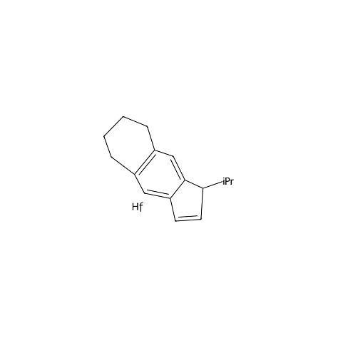 CC(C)C1C=Cc2cc3c(cc21)CCCC3.[Hf]